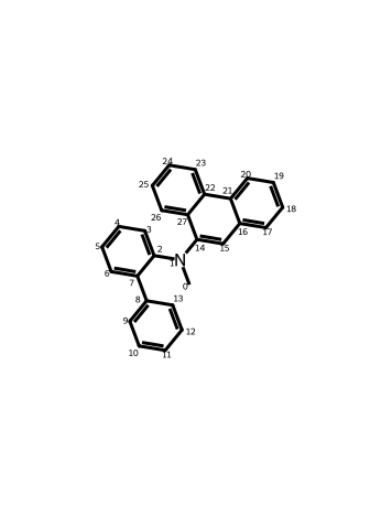 CN(c1ccccc1-c1ccccc1)c1cc2ccccc2c2ccccc12